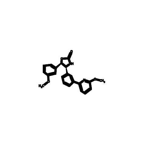 COc1cccc([C@H]2OC(=O)N[C@@H]2c2cccc(-c3cccc(OC)n3)c2)c1